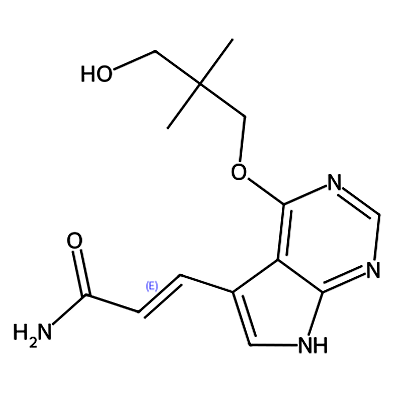 CC(C)(CO)COc1ncnc2[nH]cc(/C=C/C(N)=O)c12